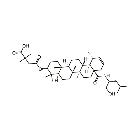 CC(C)C[C@@H](CO)NC(=O)[C@]12CC=C[C@@H](C)[C@@H]1[C@H]1CC[C@@H]3[C@@]4(C)CC[C@H](OC(=O)CC(C)(C)C(=O)O)C(C)(C)[C@@H]4CC[C@@]3(C)[C@]1(C)CC2